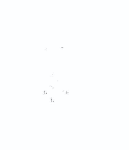 O=c1c(Cc2ccc(Cl)c(F)c2)c(C2=CC=C2)[nH]c2ncnn12